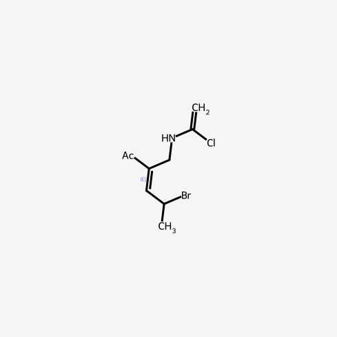 C=C(Cl)NC/C(=C\C(C)Br)C(C)=O